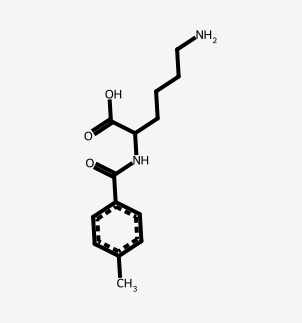 Cc1ccc(C(=O)NC(CCCCN)C(=O)O)cc1